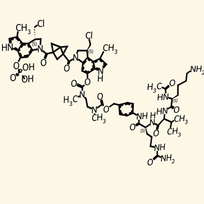 CC(=O)N[C@@H](CCCCN)C(=O)NC(C(=O)N[C@@H](CCCNC(N)=O)C(=O)Nc1ccc(COC(=O)N(C)CCN(C)C(=O)Oc2cc3c(c4c(C)c[nH]c24)[C@H](CCl)CN3C(=O)C23CC4(C(=O)N5C[C@@H](CCl)c6c5cc(OP(=O)(O)O)c5[nH]cc(C)c65)CC24C3)cc1)C(C)C